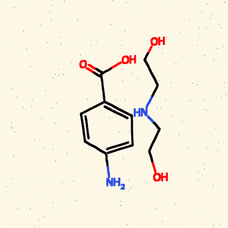 Nc1ccc(C(=O)O)cc1.OCCNCCO